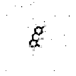 O=c1[nH]ncc(Cc2ccc(Cl)cc2)c1O